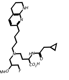 COC(CF)CN(CCCCc1ccc2c(n1)NCCC2)CCC(NC(=O)CC1CC1)C(=O)O